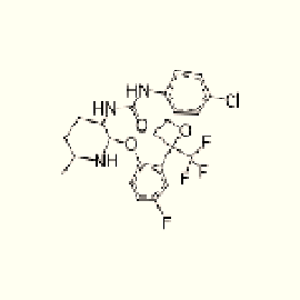 CC1CCC(NC(=O)Nc2ccc(Cl)cc2)C(Oc2ccc(F)cc2C2(C(F)(F)F)CCO2)N1